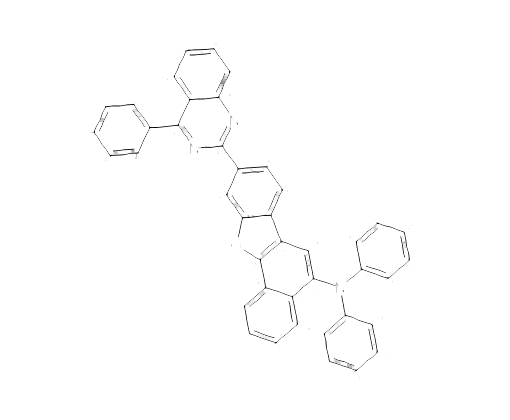 c1ccc(-c2nc(-c3ccc4c(c3)oc3c5ccccc5c(N(c5ccccc5)c5ccccc5)cc43)nc3ccccc23)cc1